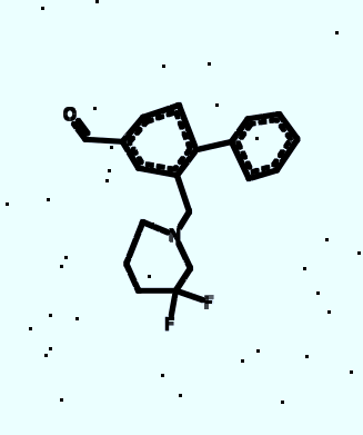 O=Cc1ccc(-c2ccccc2)c(CN2CCCC(F)(F)C2)c1